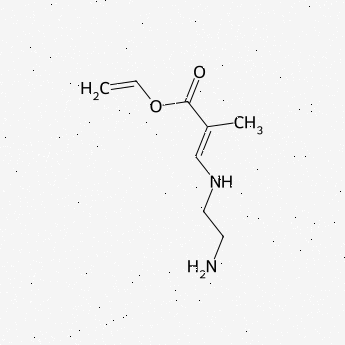 C=COC(=O)C(C)=CNCCN